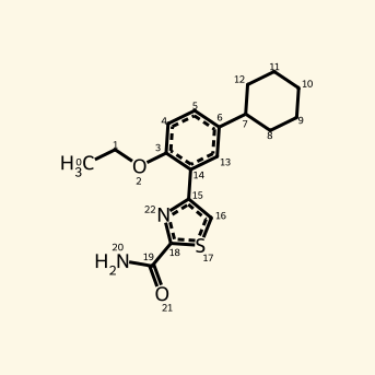 CCOc1ccc(C2CCCCC2)cc1-c1csc(C(N)=O)n1